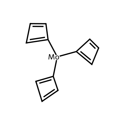 C1=C[C]([Mo]([C]2=CC=C2)[C]2=CC=C2)=C1